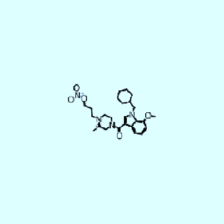 COc1cccc2c(C(=O)N3CCN(CCCO[N+](=O)[O-])[C@H](C)C3)cn(CC3CCCCC3)c12